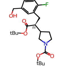 CC(C)(C)OC(=O)[C@@H](Cc1cc(CO)ccc1F)C1CCN(C(=O)OC(C)(C)C)C1